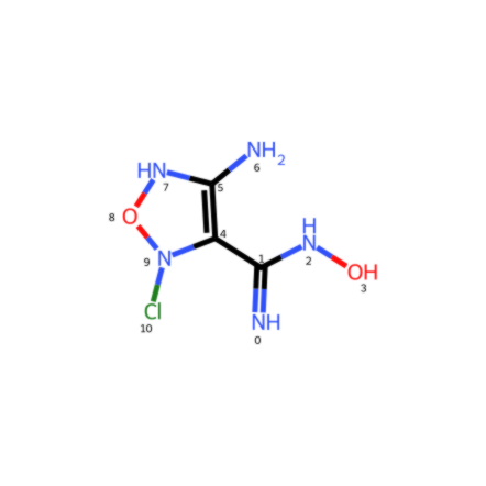 N=C(NO)C1=C(N)NON1Cl